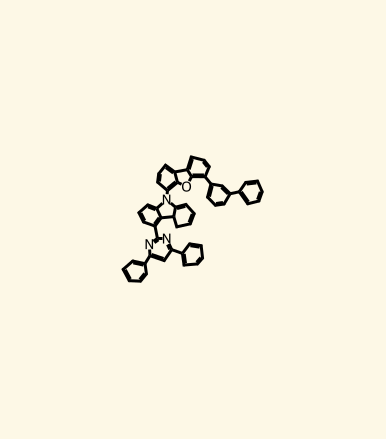 C1=CCC2C(=C1)N(c1cccc3c1oc1c(-c4cccc(-c5ccccc5)c4)cccc13)c1cccc(-c3nc(-c4ccccc4)cc(-c4ccccc4)n3)c12